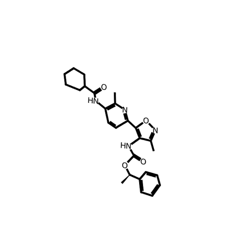 Cc1nc(-c2onc(C)c2NC(=O)O[C@H](C)c2ccccc2)ccc1NC(=O)C1CCCCC1